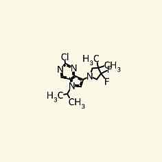 CC(C)n1cc(N2CC(C)(C)C(F)(F)C2)c2nc(Cl)ncc21